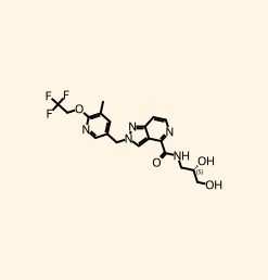 Cc1cc(Cn2cc3c(C(=O)NC[C@H](O)CO)nccc3n2)cnc1OCC(F)(F)F